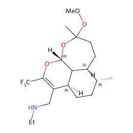 CCNCC1=C(C(F)(F)F)O[C@@H]2OC(C)(OOC)CC[C@@H]3C2[C@H]1CC[C@H]3C